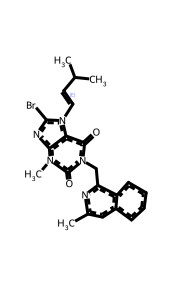 Cc1cc2ccccc2c(Cn2c(=O)c3c(nc(Br)n3/C=C/C(C)C)n(C)c2=O)n1